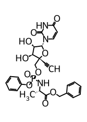 C#C[C@]1(COP(=O)(N[C@@H](C)C(=O)OCc2ccccc2)Oc2ccccc2)O[C@@H](n2ccc(=O)[nH]c2=O)[C@H](O)[C@@H]1O